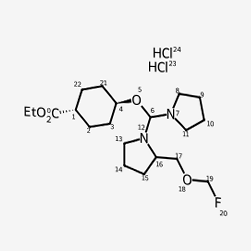 CCOC(=O)[C@H]1CC[C@H](OC(N2CCCC2)N2CCCC2COCF)CC1.Cl.Cl